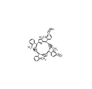 C[n+]1ccccc1-c1c2nc(c(-c3cccc[n+]3C)c3ccc([nH]3)c(-c3cccc[n+]3C)c3nc(c(-c4cccc[n+]4C)c4ccc1[nH]4)C=C3)C=C2.[Cl-].[Cl-].[Cl-].[Cl-].[Cl-].[Mn]